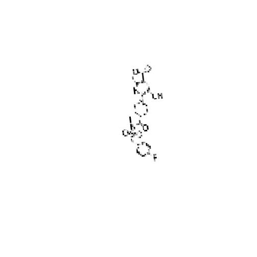 N#Cc1cc2c(nc1N1CCC(C(=O)NS(=O)(=O)Cc3ccc(F)cc3)CC1)COC2=O